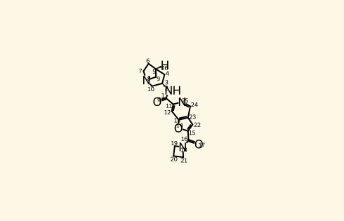 O=C(N[C@@H]1C[C@H]2CCN(C2)C1)c1cc2oc(C(=O)N3CCC3)cc2cn1